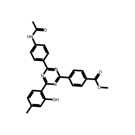 COC(=O)c1ccc(-c2nc(-c3ccc(NC(C)=O)cc3)nc(-c3ccc(C)cc3O)n2)cc1